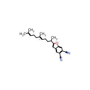 CC(C)=CCC/C(C)=C/CCC(C)c1cc2cc(C#N)c(C#N)cc2o1